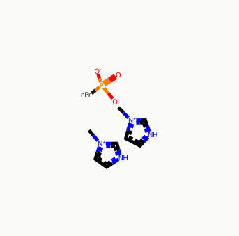 CCCP(=O)([O-])[O-].C[n+]1cc[nH]c1.C[n+]1cc[nH]c1